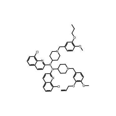 C=CCOc1cc(CN2CCC(N(c3ccc4cccc(Cl)c4n3)N(c3ccc4cccc(Cl)c4n3)C3CCN(Cc4ccc(OC)c(OCCC)c4)CC3)CC2)ccc1OC